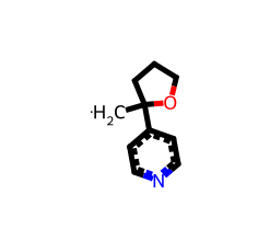 [CH2]C1(c2ccncc2)CCCO1